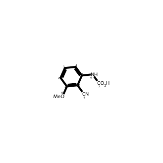 COc1cccc(NC(=O)O)c1C#N